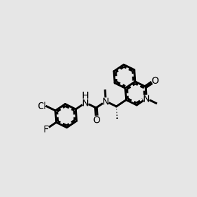 C[C@@H](c1cn(C)c(=O)c2ccccc12)N(C)C(=O)Nc1ccc(F)c(Cl)c1